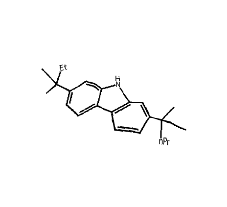 CCCC(C)(C)c1ccc2c(c1)[nH]c1cc(C(C)(C)CC)ccc12